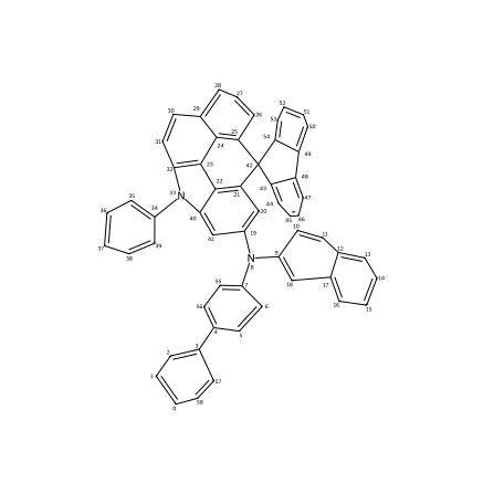 c1ccc(-c2ccc(N(c3ccc4ccccc4c3)c3cc4c5c6c7c(cccc7ccc6n(-c6ccccc6)c5c3)C43c4ccccc4-c4ccccc43)cc2)cc1